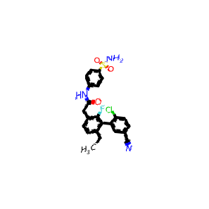 CCc1ccc(CC(=O)Nc2ccc(S(N)(=O)=O)cc2)c(F)c1-c1cc(C#N)ccc1Cl